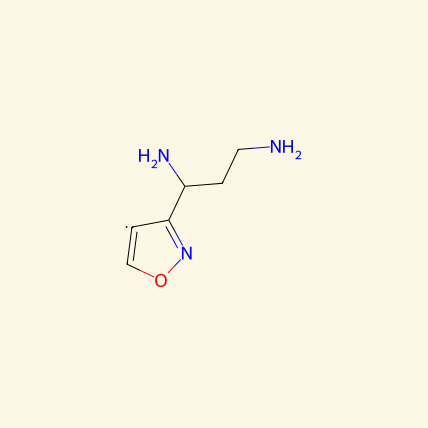 NCCC(N)c1[c]con1